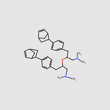 CN(C)CC(Cc1ccc(C2CC3C=CC2C3)cc1)OC(Cc1ccc(C2CC3C=CC2C3)cc1)CN(C)C